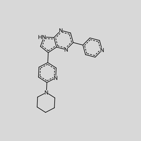 c1cc(-c2cnc3[nH]cc(-c4ccc(N5CCCCC5)nc4)c3n2)ccn1